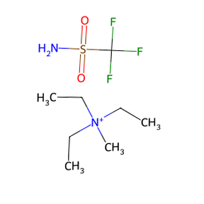 CC[N+](C)(CC)CC.NS(=O)(=O)C(F)(F)F